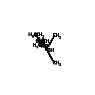 CCCCCCCCCCCCC(O)CN(CCCCC(=O)Oc1c(OC)cc(C(=O)OCCCN(C)C)cc1OC)CC(O)CCCCCCCCCCCC